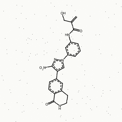 C=C(CO)C(=O)Nc1cccc(-n2cc(-c3ccc4c(c3)CCNC4=O)c([N+](=O)[O-])n2)c1